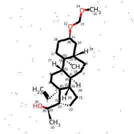 C=C[C@]12CC[C@H]3[C@@H](CC[C@H]4C[C@H](OCOC)CC[C@@]43C)[C@@H]1CC[C@@H]2[C@@H](C)O